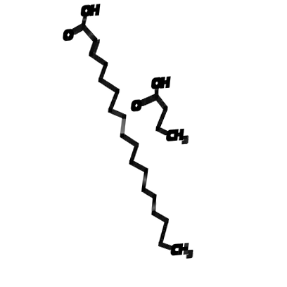 CCCC(=O)O.CCCCCCCCCCCCCCCC=CC(=O)O